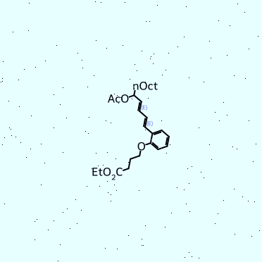 CCCCCCCCC(/C=C/C=C/c1ccccc1OCCCC(=O)OCC)OC(C)=O